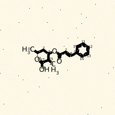 CCCC(OC(=O)/C=C/c1ccccc1)C(C)C(=O)O